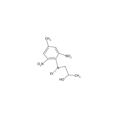 CCN(CC(C)O)c1c([N+](=O)[O-])cc(C)cc1[N+](=O)[O-]